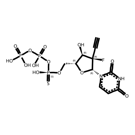 C#C[C@@]1(F)[C@H](O)[C@@H](CO[P@](O)(=S)OP(=O)(O)OP(=O)(O)O)O[C@H]1n1ccc(=O)[nH]c1=O